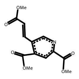 COC(=O)C=Cc1cnc(C(=O)OC)cc1C(=O)OC